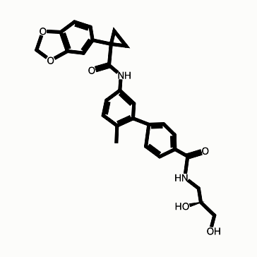 Cc1ccc(NC(=O)C2(c3ccc4c(c3)OCO4)CC2)cc1-c1ccc(C(=O)NC[C@H](O)CO)cc1